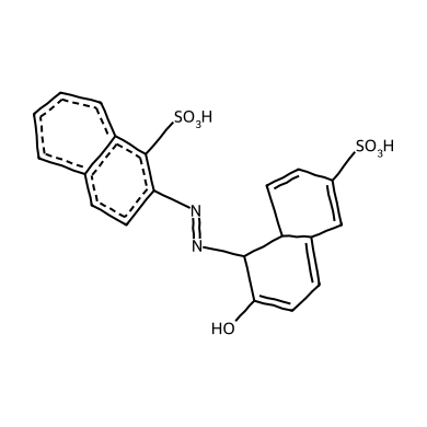 O=S(=O)(O)C1=CC2=CC=C(O)C(N=Nc3ccc4ccccc4c3S(=O)(=O)O)C2C=C1